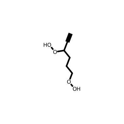 C#CC(CCCOO)OO